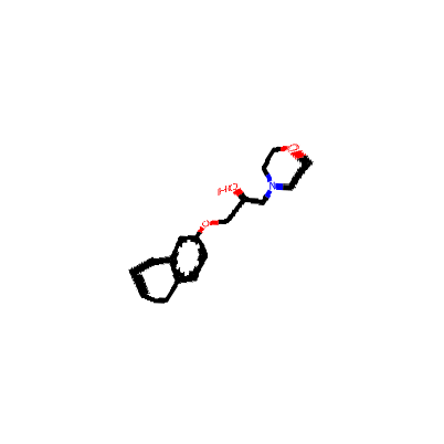 OC(COc1ccc2c(c1)CC=CC2)CN1CCOCC1